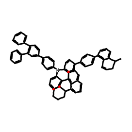 CC1CC=Cc2c(-c3ccc(-c4ccc(N(c5ccc(-c6ccc(-c7ccccc7)c(-c7ccccc7)c6)cc5)c5ccccc5-c5cccc6cccc(C7CCCCC7)c56)cc4)cc3)cccc21